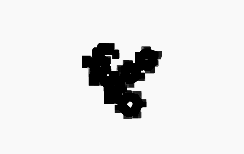 COc1ccc(Nc2nc(NC3CCCCCC3)nc(N3CCN(c4ccccn4)CC3)n2)cc1F